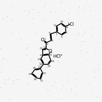 Cl.O=C(C=Cc1ccc(Cl)cc1)c1cc2cc(-c3ccccc3)ccc2o1